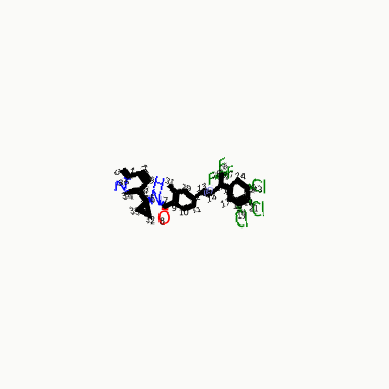 Cc1ccc(C2(NC(=O)c3ccc(/C=C/C(c4cc(Cl)c(Cl)c(Cl)c4)C(F)(F)F)cc3C)CC2)cn1